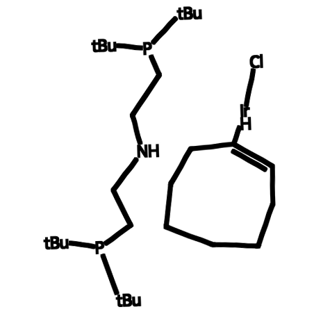 CC(C)(C)P(CCNCCP(C(C)(C)C)C(C)(C)C)C(C)(C)C.[Cl][IrH]/[C]1=C/CCCCCC1